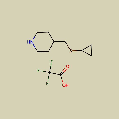 C1CC(CSC2CC2)CCN1.O=C(O)C(F)(F)F